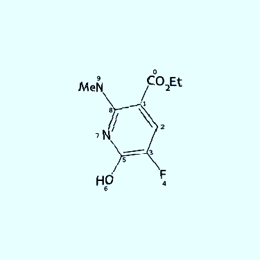 CCOC(=O)c1cc(F)c(O)nc1NC